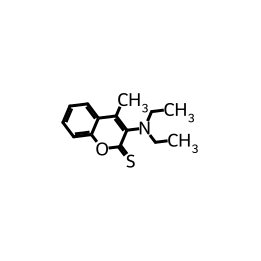 CCN(CC)c1c(C)c2ccccc2oc1=S